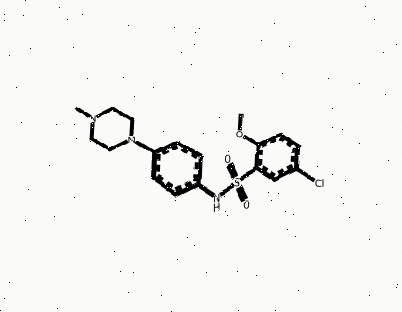 COc1ccc(Cl)cc1S(=O)(=O)Nc1ccc(N2CCN(C)CC2)cc1